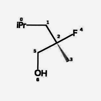 CC(C)C[C@@](C)(F)CO